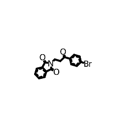 O=C(CCN1C(=O)c2ccccc2C1=O)c1ccc(Br)cc1